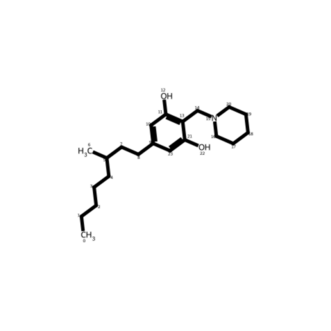 CCCCCC(C)CCc1cc(O)c(CN2CCCCC2)c(O)c1